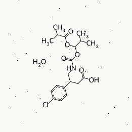 CC(C)C(=O)OC(OC(=O)NCC(CC(=O)O)c1ccc(Cl)cc1)C(C)C.O